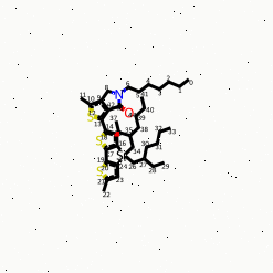 CCCCCCCN1Cc2c(C)sc(-c3cc4c(s3)-c3sc(C)cc3[Si]4(CC(CC)CCCC)CC(CC)CCCC)c2C1=O